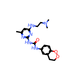 Cc1cc(NCCN(C)C)nc(NC(=O)Nc2ccc3c(c2)CCOO3)n1